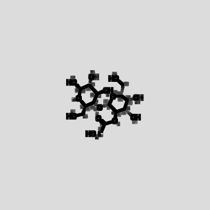 O=C(O)C(=O)O[C@H]1[C@H](O[C@H]2[C@H](O)[C@@H](O)[C@H](O)O[C@@H]2CO)O[C@H](CO)[C@H](O)[C@@H]1O